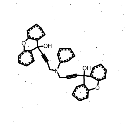 OC1(C#CCN(CC#CC2(O)c3ccccc3Oc3ccccc32)c2ccccc2)c2ccccc2Oc2ccccc21